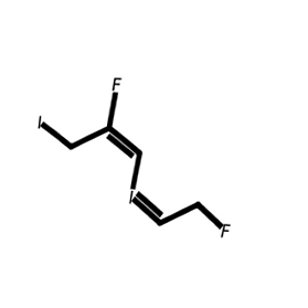 FC/C=I\C=C(\F)CI